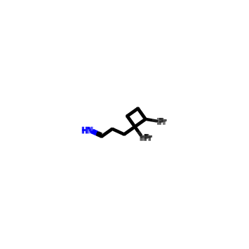 CCCC1(CCC=N)CCC1C(C)C